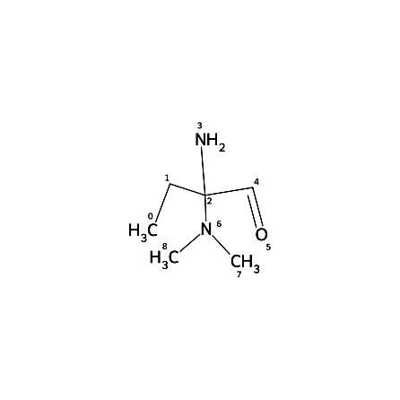 CCC(N)(C=O)N(C)C